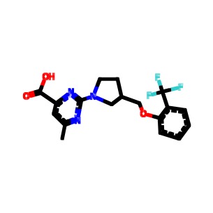 Cc1cc(C(=O)O)nc(N2CCC(COc3ccccc3C(F)(F)F)C2)n1